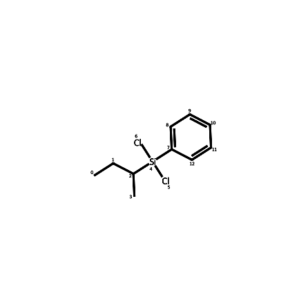 CCC(C)[Si](Cl)(Cl)c1ccccc1